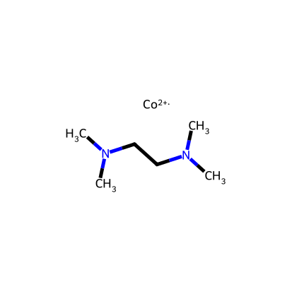 CN(C)CCN(C)C.[Co+2]